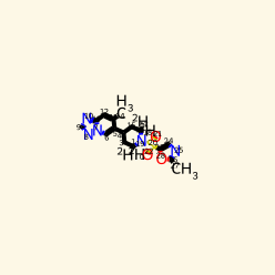 [2H]C1([2H])CC(c2cn3ncnc3cc2C)CC([2H])([2H])N1S(=O)(=O)c1cnc(C)o1